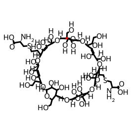 N[C@H](CSCC[C@H]1O[C@@H](O)/C(O)=C(/O)[C@@H](CCO)O[C@H]2OC(CO)[C@@H](O[C@H]3OC(CO)[C@@H](O[C@@H]4OC(CSC[C@@H](N)C(=O)O)[C@@H](O[C@H](O)/C(O)=C(\O)[C@@H](CCO)O[C@@H]5OC(CO)[C@@H](O[C@@H](O)/C(O)=C\1O)C(O)C5O)[C@H](O)C4O)C(O)C3O)C(O)C2O)C(=O)O